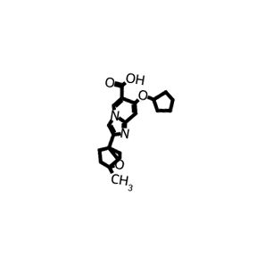 CC12CCC(c3cn4cc(C(=O)O)c(OC5CCCC5)cc4n3)(CO1)C2